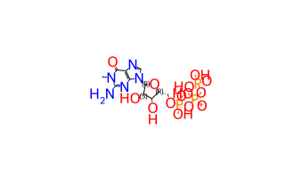 Cn1c(N)nc2c(ncn2[C@@H]2O[C@H](COP(=O)(O)OP(=O)(O)OP(=O)(O)O)C(O)[C@@H]2O)c1=O